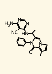 Cc1ccn2cc(C(C)Nc3ncnc(N)c3C#N)n(-c3ccccc3)c(=O)c12